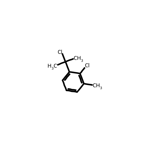 Cc1cccc(C(C)(C)Cl)c1Cl